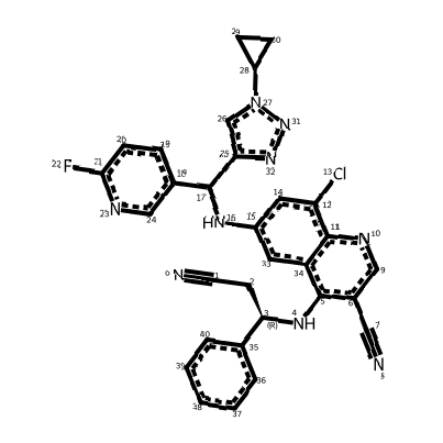 N#CC[C@@H](Nc1c(C#N)cnc2c(Cl)cc(NC(c3ccc(F)nc3)c3cn(C4CC4)nn3)cc12)c1ccccc1